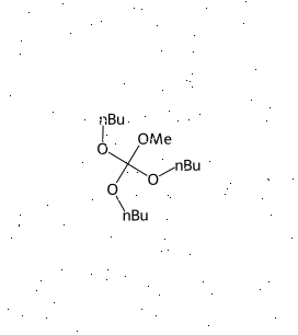 CCCCOC(OC)(OCCCC)OCCCC